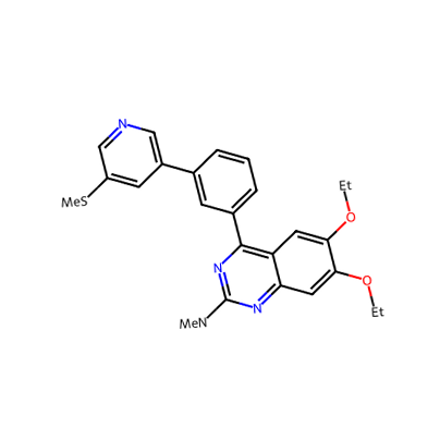 CCOc1cc2nc(NC)nc(-c3cccc(-c4cncc(SC)c4)c3)c2cc1OCC